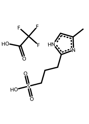 Cc1c[nH]c(CCCS(=O)(=O)O)n1.O=C(O)C(F)(F)F